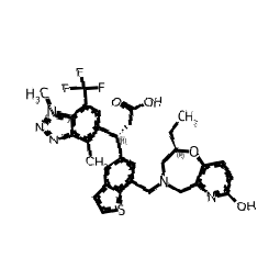 CC[C@@H]1CN(Cc2cc([C@@H](CC(=O)O)c3cc(C(F)(F)F)c4c(nnn4C)c3C)cc3ccsc23)Cc2nc(O)ccc2O1